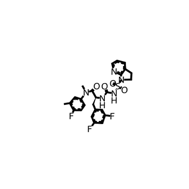 Cc1cc(N(C)C(=O)[C@H](Cc2cc(F)cc(F)c2)NC(=O)NS(=O)(=O)N2CCc3cccnc32)ccc1F